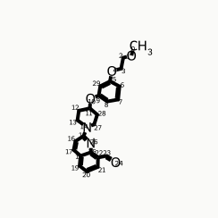 COCCOc1cccc(OC2CCN(c3ccc4cccc(C=O)c4n3)CC2)c1